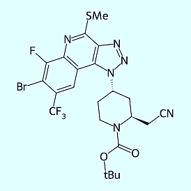 CSc1nc2c(F)c(Br)c(C(F)(F)F)cc2c2c1nnn2[C@H]1CCN(C(=O)OC(C)(C)C)[C@H](CC#N)C1